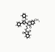 Cc1ccc(C(=O)N(CCCN2C(=O)c3ccccc3C2=O)[C@@H](c2nc(-c3ccccc3)cn2Cc2ccccc2)C(C)C)cc1